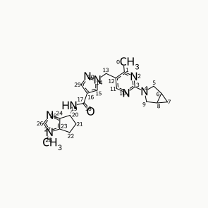 Cc1nc(N2CC3CC3C2)ncc1Cn1cc(C(=O)N[C@@H]2CCc3c2ncn3C)cn1